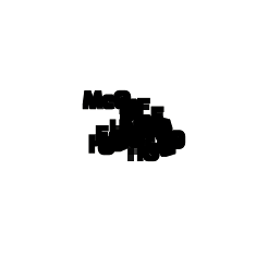 COc1cc(F)c([C@@H]2CN(c3nc(N4C(=O)CC[C@H]4CO)ccc3F)C(=O)C2NC(=O)c2ccc(OC(F)F)cc2)c(F)c1